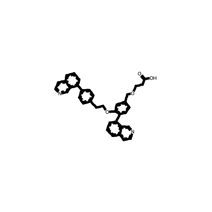 O=C(O)CCOCc1ccc(-c2cccc3ccncc23)c(OCCc2ccc(-c3cccc4ccncc34)cc2)c1